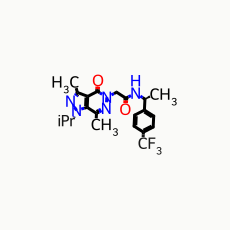 Cc1nn(C(C)C)c2c(C)nn(CC(=O)N[C@@H](C)c3ccc(C(F)(F)F)cc3)c(=O)c12